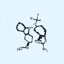 Nc1nc2ccc(OC(F)(F)F)cc2s1.ON=C1CCc2[nH]c3ccccc3c2C1